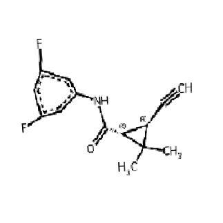 C#C[C@@H]1[C@@H](C(=O)Nc2cc(F)cc(F)c2)C1(C)C